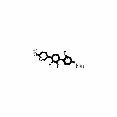 CCCCOc1ccc(-c2ccc(C3CCC(OCC)OC3)c(F)c2F)c(F)c1